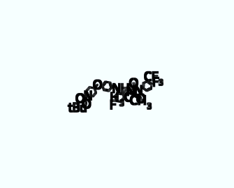 CC(C)(C)OC(=O)N1CCC(Oc2ccc(Nc3cc(F)ccc3CN3C(=O)N(c4ccc(F)c(C(F)(F)F)c4)C(=O)C3(C)C)cc2)CC1